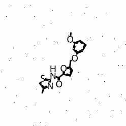 COc1cccc(OCc2ccc(C(=O)Nc3nc(C)cs3)o2)c1